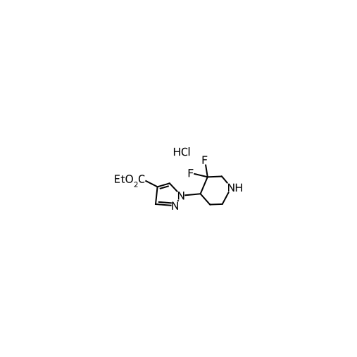 CCOC(=O)c1cnn(C2CCNCC2(F)F)c1.Cl